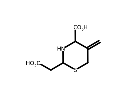 C=C1CSC(CC(=O)O)NC1C(=O)O